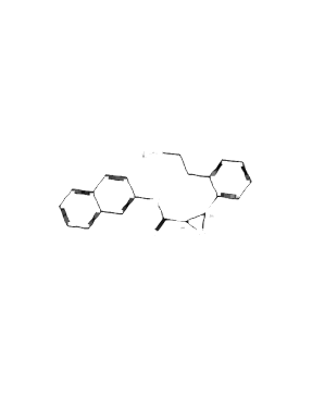 CCCCCCCCCCCCc1ccccc1[C@H]1O[C@H]1C(=O)Oc1ccc2ccccc2c1